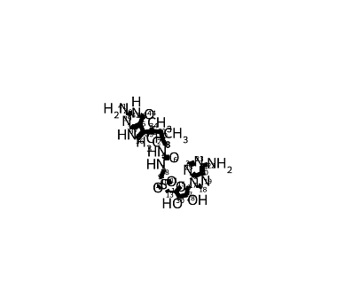 CC(C)(CNC(=O)NCCS(=O)(=O)C[C@H]1O[C@@H](n2cnc3c(N)ncnc32)C(O)C1O)CC(C)(C)c1c[nH]c2nc(N)[nH]c(=O)c12